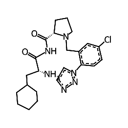 N[C@H](CC1CCCCC1)C(=O)NC(=O)[C@@H]1CCCN1Cc1cc(Cl)ccc1-n1ccnn1